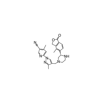 Cc1cc(-n2cc(CN3CCN[C@H](c4ccc5c(c4C)COC5=O)C3)c(C)n2)ncc1C#N